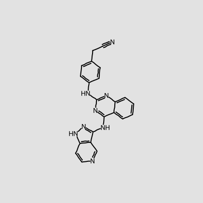 N#CCc1ccc(Nc2nc(Nc3n[nH]c4ccncc34)c3ccccc3n2)cc1